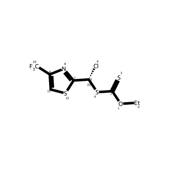 CCOC(=S)S[C@@H](Cl)c1nc(C(F)(F)F)cs1